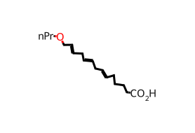 CCCOCC=CCC=CCC=CCCCCC(=O)O